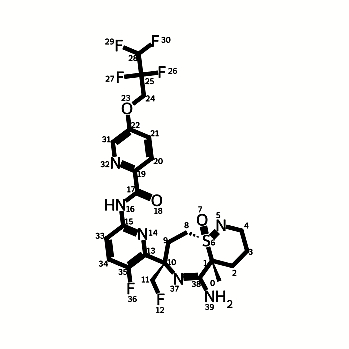 C[C@]12CCCN=[S@@]1(=O)CC[C@@](CF)(c1nc(NC(=O)c3ccc(OCC(F)(F)C(F)F)cn3)ccc1F)N=C2N